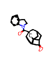 O=C1C2CC3CC4(C(=O)N5CCc6ccccc65)CC1C2(C3)C4